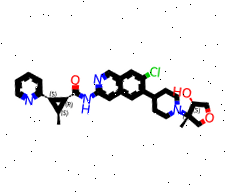 C[C@@H]1[C@@H](C(=O)Nc2cc3cc(C4CCN([C@@]5(C)COC[C@H]5O)CC4)c(Cl)cc3cn2)[C@H]1c1ccccn1